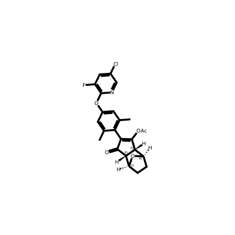 CC(=O)OC1=C(c2c(C)cc(Oc3ncc(Cl)cc3F)cc2C)C(=O)[C@@H]2[C@H]1[C@H]1CC[C@@H]2O1